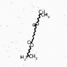 CC(C)CCCCCOC(=O)CCCCCCCCCC(=O)OCCCCCC(C)C